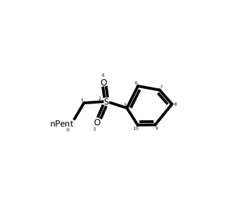 CCCCCCS(=O)(=O)c1ccccc1